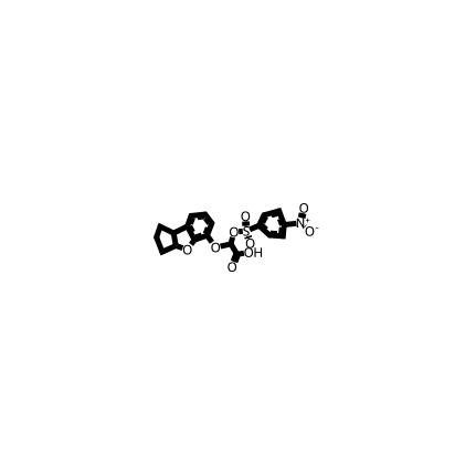 O=C(O)C(Oc1cccc2c1OC1CCCC21)OS(=O)(=O)c1ccc([N+](=O)[O-])cc1